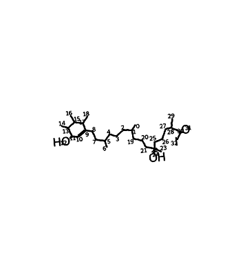 CC(CCCC(C)CCC1=CC(O)C(C)C(C)C1C)CCCC(C)(O)CCCC(C)C(=O)I